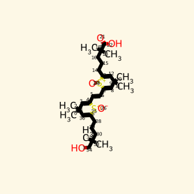 CC1(C)C=C(/C=C/C2=CC(C)(C)C=C(CCCC(C)(C)C(=O)O)[S+]2[O-])[S+]([O-])C(CCCC(C)(C)CO)=C1